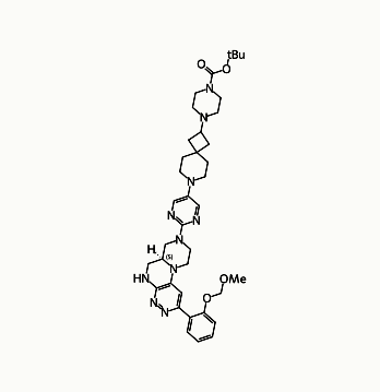 COCOc1ccccc1-c1cc2c(nn1)NC[C@H]1CN(c3ncc(N4CCC5(CC4)CC(N4CCN(C(=O)OC(C)(C)C)CC4)C5)cn3)CCN21